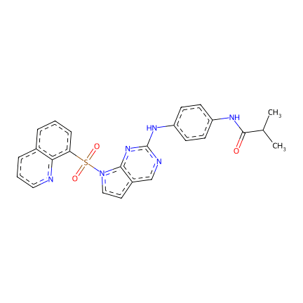 CC(C)C(=O)Nc1ccc(Nc2ncc3ccn(S(=O)(=O)c4cccc5cccnc45)c3n2)cc1